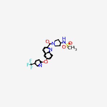 CS(=O)(=O)NC1CCN(C(=O)c2ccc3cc(Oc4ccc(C(F)(F)F)cn4)ccc3n2)CC1